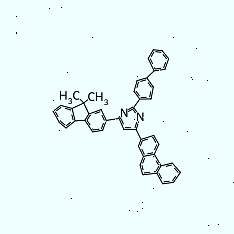 CC1(C)c2ccccc2-c2ccc(-c3cc(-c4ccc5c(ccc6ccccc65)c4)nc(-c4ccc(-c5ccccc5)cc4)n3)cc21